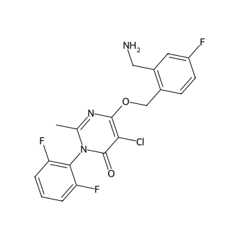 Cc1nc(OCc2ccc(F)cc2CN)c(Cl)c(=O)n1-c1c(F)cccc1F